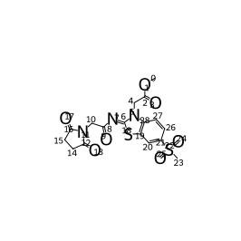 COC(=O)Cn1/c(=N/C(=O)CN2C(=O)CCC2=O)sc2cc(S(C)(=O)=O)ccc21